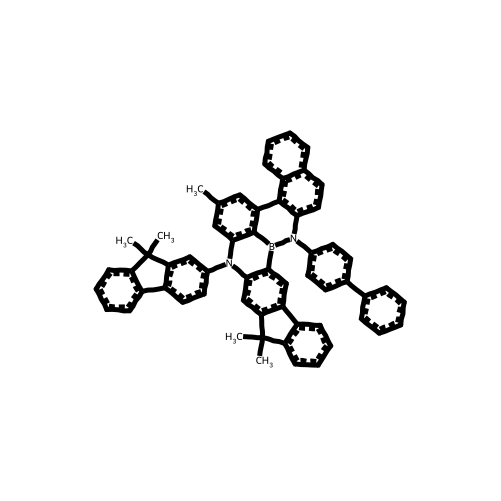 Cc1cc2c3c(c1)N(c1ccc4c(c1)C(C)(C)c1ccccc1-4)c1cc4c(cc1B3N(c1ccc(-c3ccccc3)cc1)c1ccc3ccccc3c1-2)-c1ccccc1C4(C)C